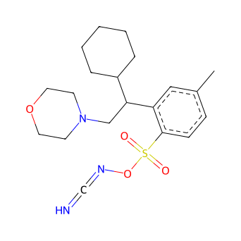 Cc1ccc(S(=O)(=O)ON=C=N)c(C(CN2CCOCC2)C2CCCCC2)c1